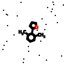 Cc1cccc(C)c1-c1ccco1